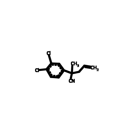 C=CCC(C)(C#N)c1ccc(Cl)c(Cl)c1